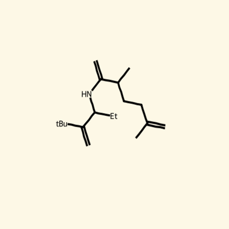 C=C(C)CCC(C)C(=C)NC(CC)C(=C)C(C)(C)C